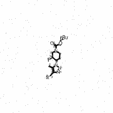 Cc1c(Br)nnn1[C@@H]1CCN(C(=O)OC(C)(C)C)C[C@@H]1F